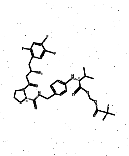 CC(C)[C@@H](Nc1ccc(CNC(=O)[C@@H]2SCCN2C(=O)CC(N)Cc2cc(F)c(F)cc2F)cc1)C(=O)OCOC(=O)C(C)(C)C